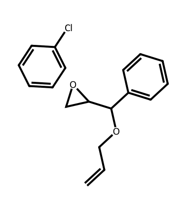 C=CCOC(c1ccccc1)C1CO1.Clc1ccccc1